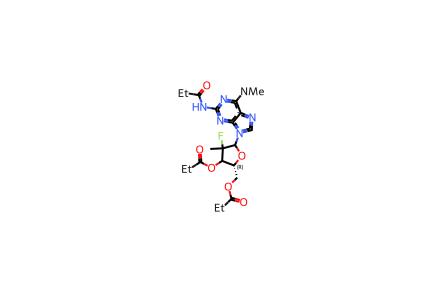 CCC(=O)Nc1nc(NC)c2ncn(C3O[C@H](COC(=O)CC)C(OC(=O)CC)C3(C)F)c2n1